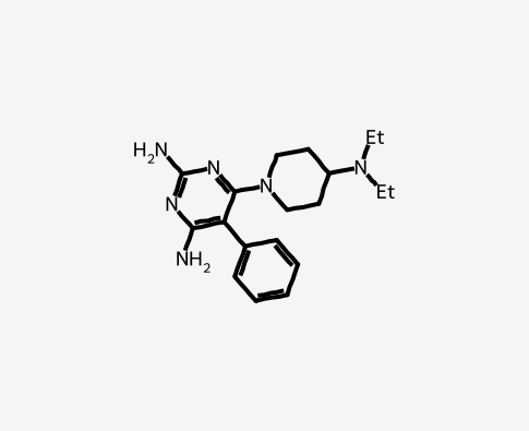 CCN(CC)C1CCN(c2nc(N)nc(N)c2-c2ccccc2)CC1